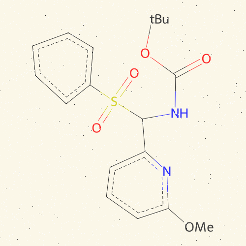 COc1cccc(C(NC(=O)OC(C)(C)C)S(=O)(=O)c2ccccc2)n1